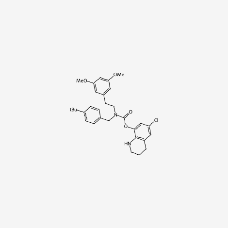 COc1cc(CCN(Cc2ccc(C(C)(C)C)cc2)C(=O)Oc2cc(Cl)cc3c2NCCC3)cc(OC)c1